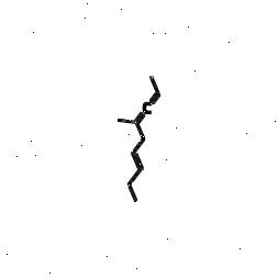 CC=C=C(C)CC=CCC